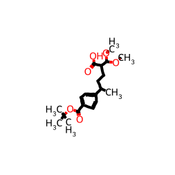 COC(OC)C(CCC(C)c1ccc(C(=O)OC(C)(C)C)cc1)C(=O)O